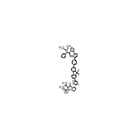 CCN(CC)C(C(=O)N1CCC[C@H]1c1ncc(-c2ccc(-c3ccc4c(c3)C(F)(F)c3cc(-c5cnc([C@@H]6CCCN6C(=O)C(NC(=O)O)C(C)C)[nH]5)ccc3-4)cc2)[nH]1)c1ccccc1